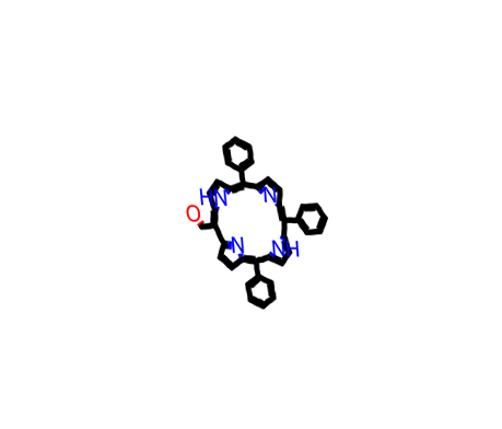 O=Cc1c2nc(c(-c3ccccc3)c3ccc([nH]3)c(-c3ccccc3)c3nc(c(-c4ccccc4)c4ccc1[nH]4)C=C3)C=C2